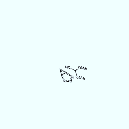 COC(C#N)OC.c1nc2cc-2n1